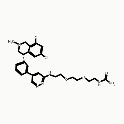 CN1Cc2c(Cl)cc(Cl)cc2[C@H](c2cccc(-c3cnnc(NCCOCCOCCNC(N)=O)c3)c2)C1